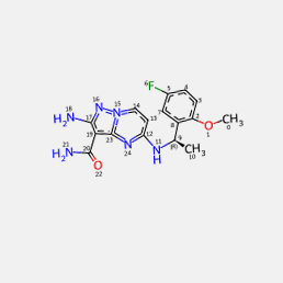 COc1ccc(F)cc1[C@@H](C)Nc1ccn2nc(N)c(C(N)=O)c2n1